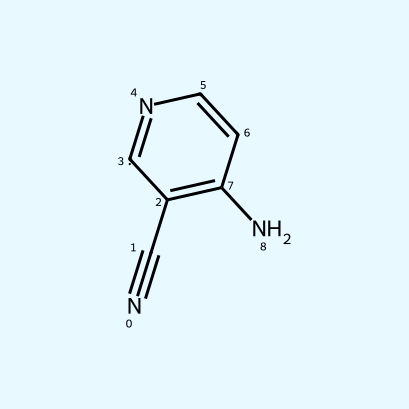 N#Cc1[c]nccc1N